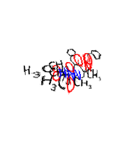 CC(NC(=O)OC(C)(C)C)C(=O)N[C@@H](C)N1CCC([C@@H](C)COCc2ccccc2)C(O)C(Cc2ccccc2)C1=O